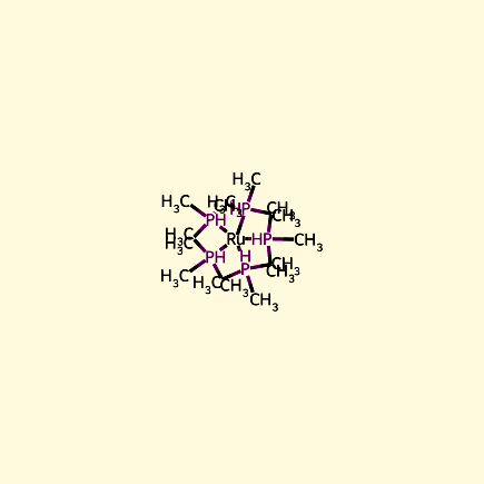 C[PH](C)(C)[Ru]([PH](C)(C)C)([PH](C)(C)C)([PH](C)(C)C)[PH](C)(C)C